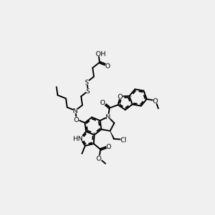 CCCCN(CCSSCCC(=O)O)Oc1cc2c(c3c(C(=O)OC)c(C)[nH]c13)[C@H](CCl)CN2C(=O)c1cc2cc(OC)ccc2o1